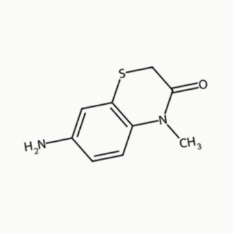 CN1C(=O)CSc2cc(N)ccc21